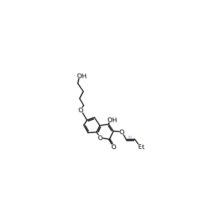 CC/C=C/Oc1c(O)c2cc(OCCCCO)ccc2oc1=O